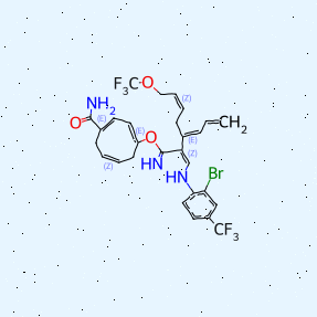 C=C/C=C(C/C=C\COC(F)(F)F)/C(=C/Nc1ccc(C(F)(F)F)cc1Br)C(=N)O/C1=C/C=C(/C(N)=O)C/C=C\C1